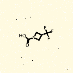 O=C(O)N1CC(C(F)(F)F)C1